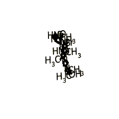 CCc1cc(Nc2ncc(Br)c(Nc3ccc4nccnc4c3P(C)(C)=O)n2)c(OC)cc1N1CCC(N2CC(F)(C(C)(C)O)C2)CC1